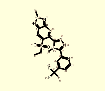 CCS(=O)(=O)c1cc2nn(C)nc2nc1-c1nnc(-c2cc(C(F)(F)F)ccn2)n1C